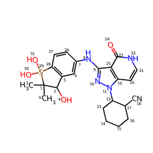 CC1(C)C(O)c2cc(Nc3nn(C4CCCCC4C#N)c4cc[nH]c(=O)c34)ccc2S1(O)O